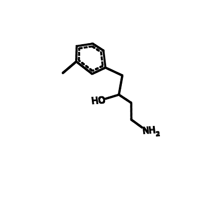 Cc1cccc(CC(O)CCN)c1